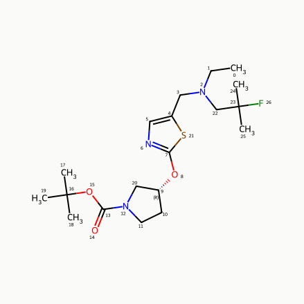 CCN(Cc1cnc(O[C@@H]2CCN(C(=O)OC(C)(C)C)C2)s1)CC(C)(C)F